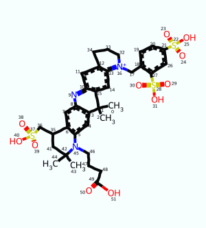 CC1(C)c2cc3c(cc2N=c2cc4c(cc21)=[N+](Cc1ccc(S(=O)(=O)O)cc1S(=O)(=O)O)CCC4)C(CS(=O)(=O)O)CC(C)(C)N3CCCC(=O)O